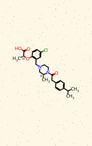 CC(C)c1ccc(CC(=O)N2CCN(Cc3cc(Cl)ccc3O[C@@H](C)C(=O)O)C[C@@H]2C)cc1